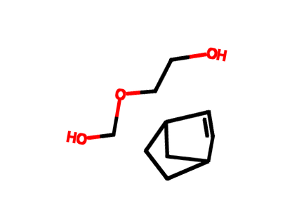 C1=CC2CCC1C2.OCCOCO